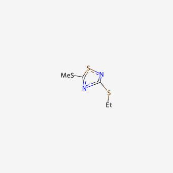 CCSc1nsc(SC)n1